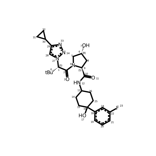 CC(C)(C)[C@@H](C(=O)N1C[C@H](O)C[C@H]1C(=O)NC1CCC(O)(c2cccc(F)c2)CC1)n1cc(C2CC2)nn1